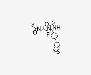 O=C(C1CC1)N1CC[C@@H](CN2C(=O)C3(CC3)NC2C2=C(F)C=C(c3ccc4sccc4c3)CC2)C1